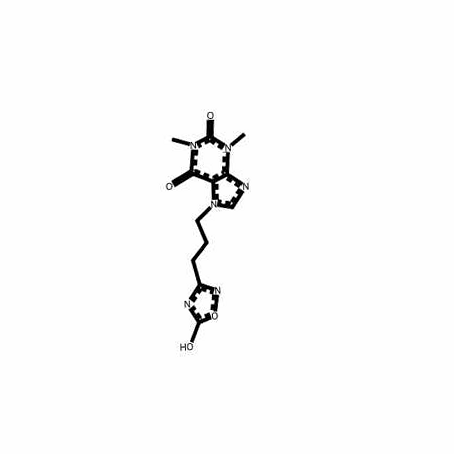 Cn1c(=O)c2c(ncn2CCCc2noc(O)n2)n(C)c1=O